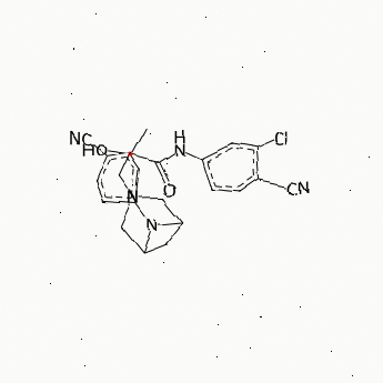 CC(O)(CN1CC2CC(C1)N2c1ccc(C#N)cc1)C(=O)Nc1ccc(C#N)c(Cl)c1